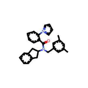 Cc1cc(C)cc(CN(C(=O)c2ccccc2-n2cccc2)C2Cc3ccccc3C2)c1